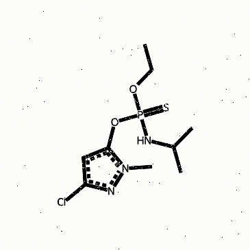 CCOP(=S)(NC(C)C)Oc1cc(Cl)nn1C